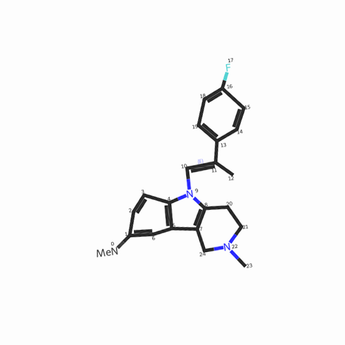 CNc1ccc2c(c1)c1c(n2/C=C(\C)c2ccc(F)cc2)CCN(C)C1